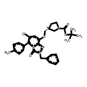 Cc1ccc(-c2c(Cl)cc(OC[C@@H]3CCN(C(=O)OC(C)(C)C)C3)c3nn(Cc4ccccc4)c(=O)n23)cc1